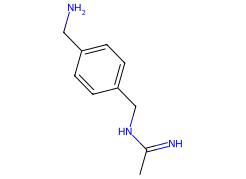 CC(=N)NCc1ccc(CN)cc1